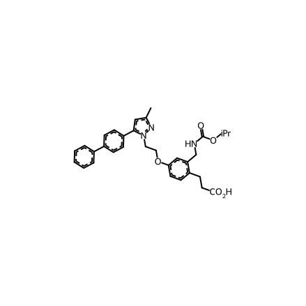 Cc1cc(-c2ccc(-c3ccccc3)cc2)n(CCOc2ccc(CCC(=O)O)c(CNC(=O)OC(C)C)c2)n1